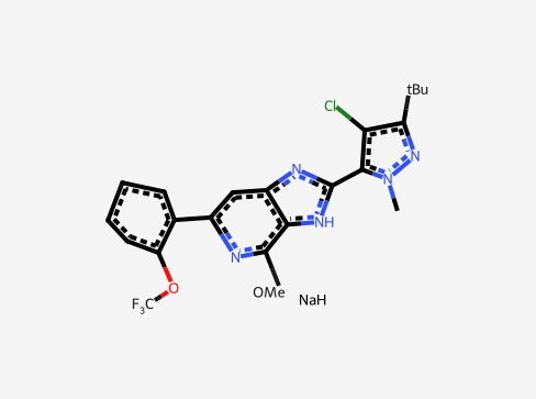 COc1nc(-c2ccccc2OC(F)(F)F)cc2nc(-c3c(Cl)c(C(C)(C)C)nn3C)[nH]c12.[NaH]